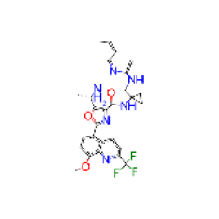 C=C(/N=C\C=C/C)NCC1(NC(=O)c2nc(-c3ccc(OC)c4nc(C(F)(F)F)ccc34)oc2[C@H](C)N)CC1